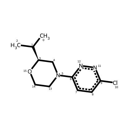 CC(C)[C@H]1CN(c2ccc(Cl)nn2)CCO1